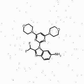 Nc1ccc2nc(C(F)F)n(-c3nc(N4CCOCC4)cc(N4CCOCC4)n3)c2c1